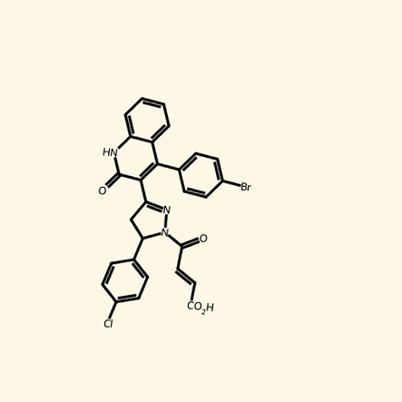 O=C(O)/C=C/C(=O)N1N=C(c2c(-c3ccc(Br)cc3)c3ccccc3[nH]c2=O)CC1c1ccc(Cl)cc1